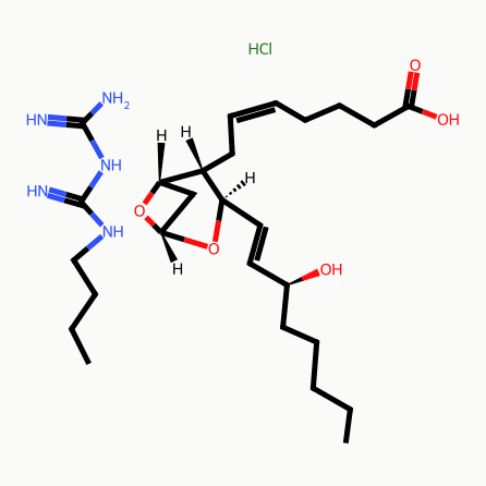 CCCCC[C@H](O)/C=C/[C@H]1O[C@H]2C[C@H](O2)[C@@H]1C/C=C\CCCC(=O)O.CCCCNC(=N)NC(=N)N.Cl